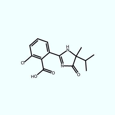 CC(C)C1(C)NC(c2cccc(Cl)c2C(=O)O)=NC1=O